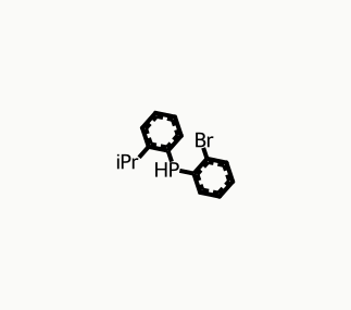 CC(C)c1ccccc1Pc1ccccc1Br